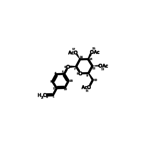 C=Cc1ccc(O[C@@H]2O[C@H](COC(C)=O)[C@@H](OC(C)=O)[C@H](OC(C)=O)[C@H]2OC(C)=O)cc1